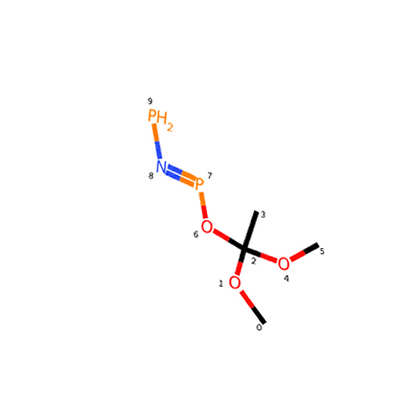 COC(C)(OC)OP=NP